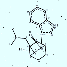 CN(C)C[C@@H]1C2CCC(CC2)[C@H]1c1c[nH]c2ccccc12